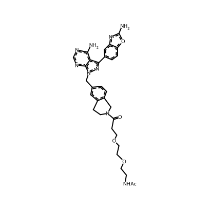 CC(=O)NCCOCCOCCC(=O)N1CCc2cc(Cn3nc(-c4ccc5oc(N)nc5c4)c4c(N)ncnc43)ccc2C1